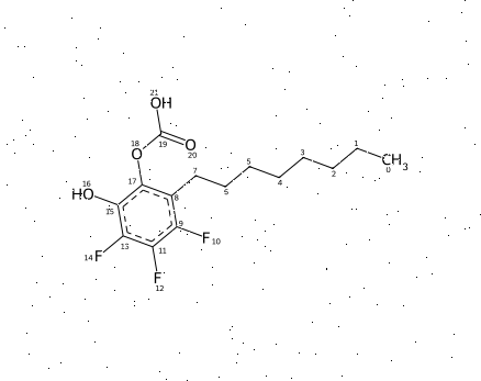 CCCCCCCCc1c(F)c(F)c(F)c(O)c1OC(=O)O